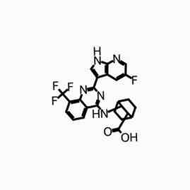 O=C(O)C1C2CCC(CC2)C1Nc1nc(-c2c[nH]c3ncc(F)cc23)nc2c(C(F)(F)F)cccc12